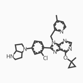 Cc1ccnc(Cn2c(-c3ccc(N4CCC5NCCC54)cc3Cl)nc3c(OC4(C)CC4)ncnc32)c1